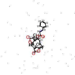 C=C1C(=O)O[C@H]2CC3=C[C@@H](C/C(C)=C/[C@@H](OC(=O)/C=C/c4ccccc4)[C@H]12)OC3=O